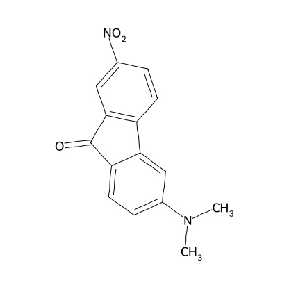 CN(C)c1ccc2c(c1)-c1ccc([N+](=O)[O-])cc1C2=O